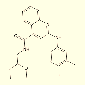 CCC(CNC(=O)c1cc(Nc2ccc(C)c(C)c2)nc2ccccc12)OC